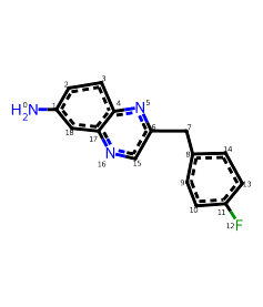 Nc1ccc2nc(Cc3ccc(F)cc3)cnc2c1